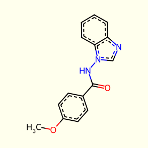 COc1ccc(C(=O)Nn2cnc3ccccc32)cc1